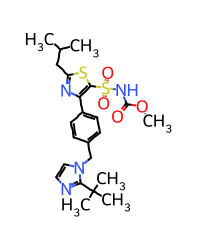 COC(=O)NS(=O)(=O)c1sc(CC(C)C)nc1-c1ccc(Cn2ccnc2C(C)(C)C)cc1